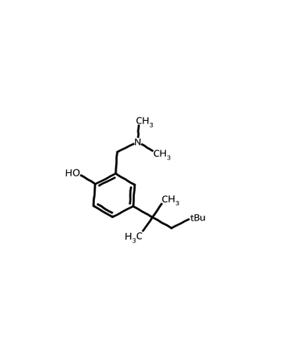 CN(C)Cc1cc(C(C)(C)CC(C)(C)C)ccc1O